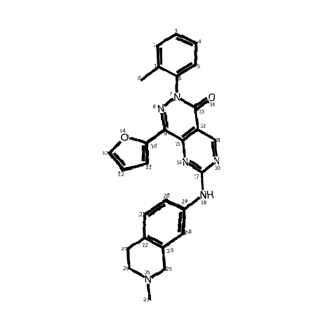 Cc1ccccc1-n1nc(-c2ccco2)c2nc(Nc3ccc4c(c3)CN(C)CC4)ncc2c1=O